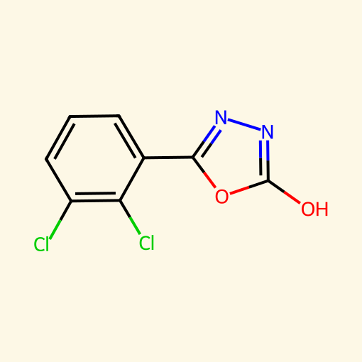 Oc1nnc(-c2cccc(Cl)c2Cl)o1